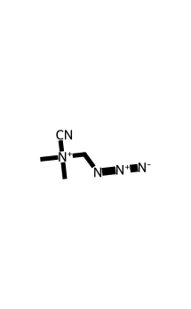 C[N+](C)(C#N)CN=[N+]=[N-]